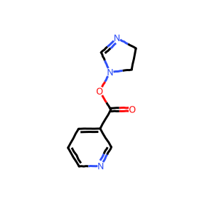 O=C(ON1C=NCC1)c1cccnc1